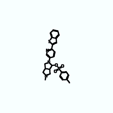 Cc1ccc(S(=O)(=O)OC2C3CN(C)CC3CN2c2ccc(-c3cc4ccccc4s3)nc2)cc1